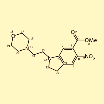 COC(=O)c1cc2c(cc1[N+](=O)[O-])CCN2CCN1CCOCC1